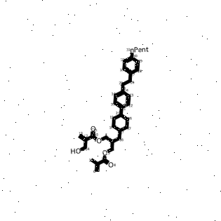 C=C(C)C(=O)OCC(COC(=O)C(=C)CO)CC1CCC(c2ccc(CCc3ccc(CCCCC)cc3)cc2)CC1